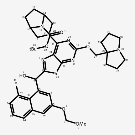 COCOc1cc(C(O)c2nc3c(N4CC5CCC(C4)N5C(=O)OC(C)(C)C)nc(OCC45CCCN4CCC5)nc3s2)c2c(F)cccc2c1